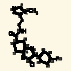 Cn1cncc1CCNC(=O)c1ccc2nc(Cl)c(-c3ccc(F)cc3)nc2c1